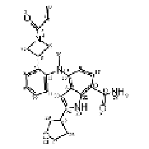 C=CC(=O)N1CC(c2ccccc2N(C)c2ccc(C(N)=O)c3[nH]c(C4CCOC4)cc23)C1